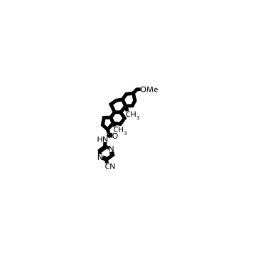 COCC1CCC2(C)C(CCC3C2CCC2(C)C(C(=O)Nc4cnc(C#N)cn4)CCC32)C1